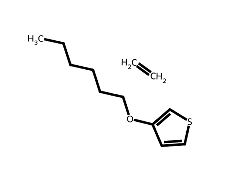 C=C.CCCCCCOc1ccsc1